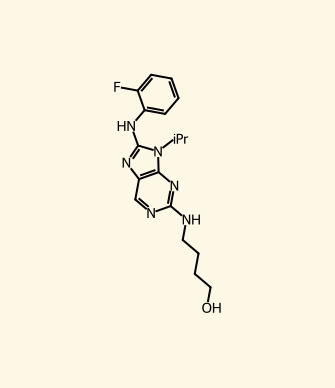 CC(C)n1c(Nc2ccccc2F)nc2cnc(NCCCCO)nc21